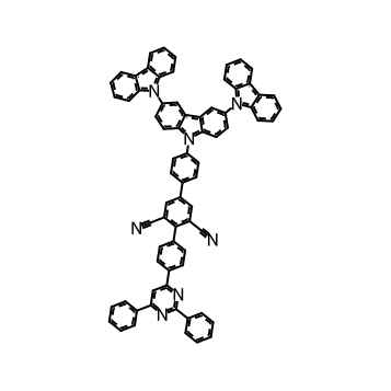 N#Cc1cc(-c2ccc(-n3c4ccc(-n5c6ccccc6c6ccccc65)cc4c4cc(-n5c6ccccc6c6ccccc65)ccc43)cc2)cc(C#N)c1-c1ccc(-c2cc(-c3ccccc3)nc(-c3ccccc3)n2)cc1